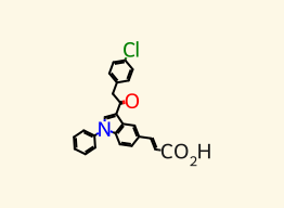 O=C(O)C=Cc1ccc2c(c1)c(C(=O)Cc1ccc(Cl)cc1)cn2-c1ccccc1